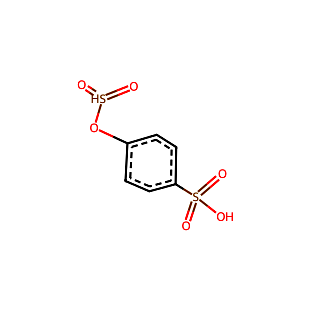 O=[SH](=O)Oc1ccc(S(=O)(=O)O)cc1